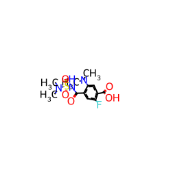 CN(C)c1cc(C(=O)O)c(F)cc1C(=O)NS(=O)(=O)N(C)C